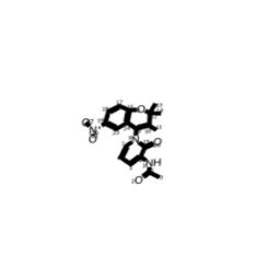 CC(=O)Nc1cccn(C2=C(C)C(C)(C)Oc3ccc([N+](=O)[O-])cc32)c1=O